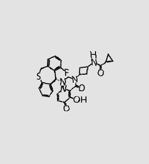 O=C(NC1CC(N2CN([C@@H]3c4ccccc4SCc4cccc(F)c43)n3ccc(=O)c(O)c3C2=O)C1)C1CC1